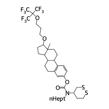 CCCCCCCN(C(=O)Oc1ccc2c(c1)CCC1C2CCC2(C)C(OCCCOC(C(F)(F)F)(C(F)(F)F)C(F)(F)F)CCC12)C1CCSSC1